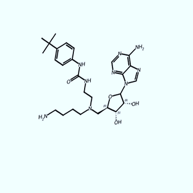 CC(C)(C)c1ccc(NC(=O)NCCN(CCCCN)C[C@H]2OC(n3cnc4c(N)ncnc43)[C@H](O)[C@@H]2O)cc1